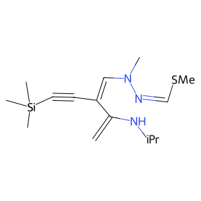 C=C(NC(C)C)/C(C#C[Si](C)(C)C)=C\N(C)/N=C\SC